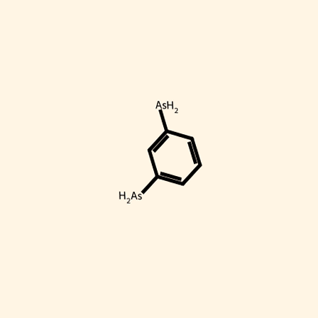 [AsH2]c1cccc([AsH2])c1